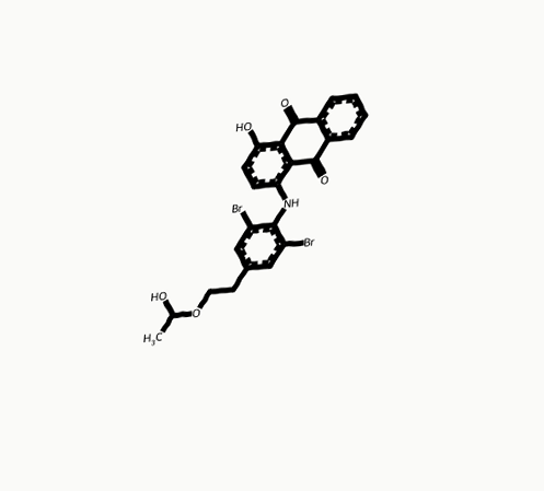 CC(O)OCCc1cc(Br)c(Nc2ccc(O)c3c2C(=O)c2ccccc2C3=O)c(Br)c1